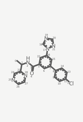 CC(NC(=O)c1cc(-c2ccc(Cl)cc2)cc(-n2cncn2)c1)c1cnccn1